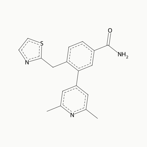 Cc1cc(-c2cc(C(N)=O)ccc2Cc2nccs2)cc(C)n1